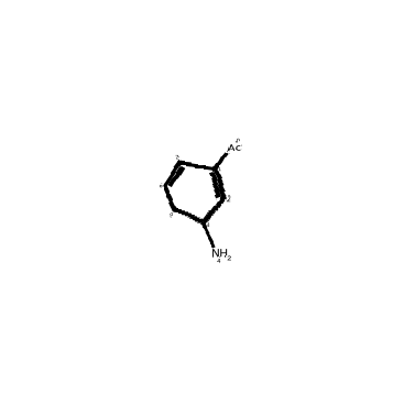 CC(=O)C1=CC(N)CC=C1